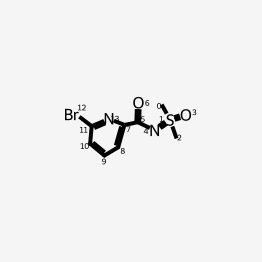 CS(C)(=O)=NC(=O)c1cccc(Br)n1